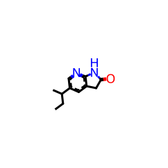 CCC(C)c1cnc2c(c1)CC(=O)N2